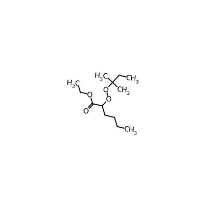 CCCCC(OOC(C)(C)CC)C(=O)OCC